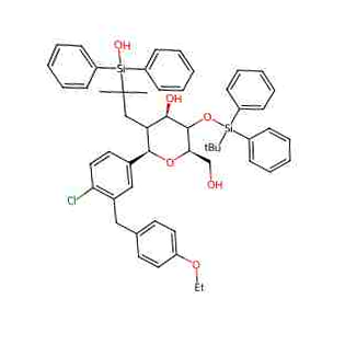 CCOc1ccc(Cc2cc([C@@H]3O[C@H](CO)C(O[Si](c4ccccc4)(c4ccccc4)C(C)(C)C)[C@H](O)C3CC(C)(C)[Si](O)(c3ccccc3)c3ccccc3)ccc2Cl)cc1